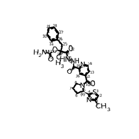 Cc1csc([C@H]2CCCN2C(=O)c2ccnc(C(=O)NNC(=O)[C@@](C)(Cc3ccccc3)OC(N)=O)c2)n1